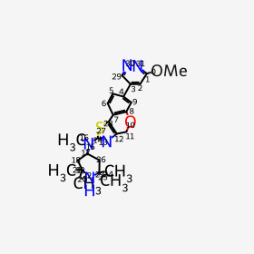 COc1cc(-c2ccc3c(c2)OCc2nc(N(C)C4CC(C)(C)NC(C)(C)C4)sc2-3)cnn1